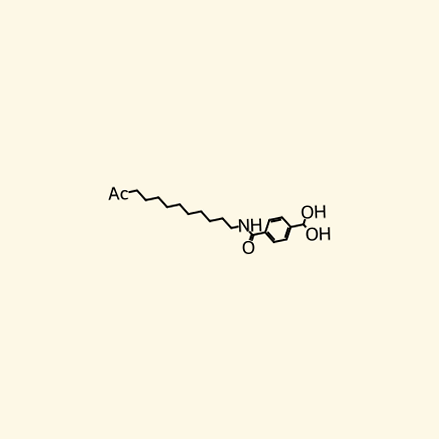 CC(=O)CCCCCCCCCCNC(=O)c1ccc(C(O)O)cc1